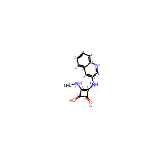 CC(C)(C)Nc1c(Nc2cnc3ccccc3c2)c(=O)c1=O